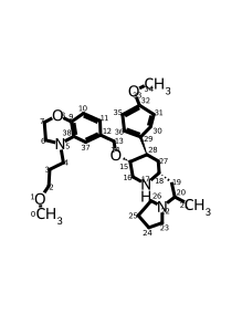 COCCCN1CCOc2ccc(CO[C@H]3CN[C@@H](CC(C)N4CCCC4)C[C@@H]3c3ccc(OC)cc3)cc21